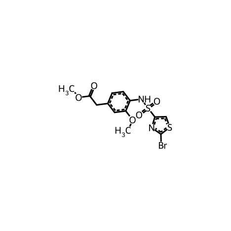 COC(=O)Cc1ccc(NS(=O)(=O)c2csc(Br)n2)c(OC)c1